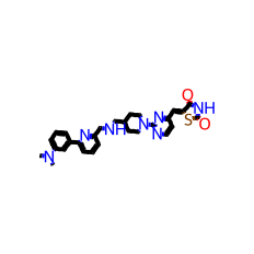 CN(C)c1cccc(-c2cccc(CNCC3CCN(c4nccc(/C=C5\SC(=O)NC5=O)n4)CC3)n2)c1